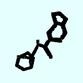 O=C(NC1CC2CCN(CC2)C1)c1cc2sccc2cn1